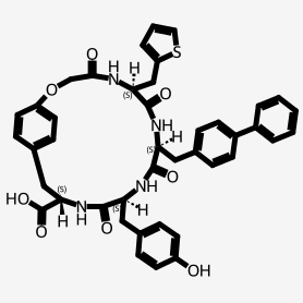 O=C1COc2ccc(cc2)C[C@@H](C(=O)O)NC(=O)[C@H](Cc2ccc(O)cc2)NC(=O)[C@H](Cc2ccc(-c3ccccc3)cc2)NC(=O)[C@H](Cc2cccs2)N1